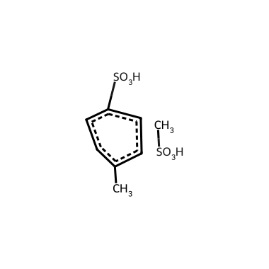 CS(=O)(=O)O.Cc1ccc(S(=O)(=O)O)cc1